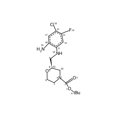 CC(C)(C)OC(=O)N1CCO[C@@H](CNc2cc(F)c(Cl)cc2N)C1